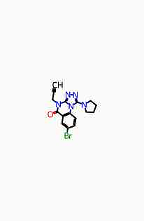 C#CCn1c(=O)c2cc(Br)ccc2n2c(N3CCCC3)nnc12